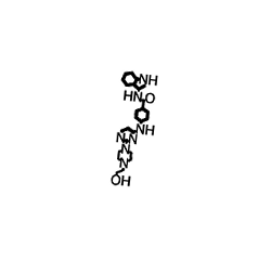 O=C(Nc1c[nH]c2ccccc12)c1ccc(Nc2ccnc(N3CCN(CCO)CC3)n2)cc1